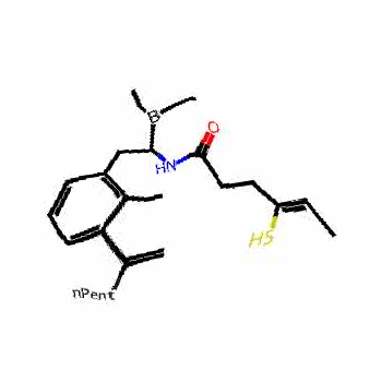 C=C(CCCCC)c1cccc(CC(NC(=O)CC/C(S)=C/C)B(C)C)c1C